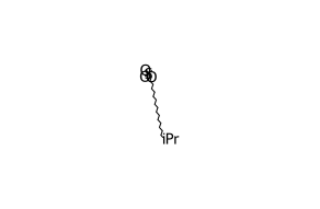 CC(C)CCCCCCCCCCCCCCCOS(C)(=O)=O